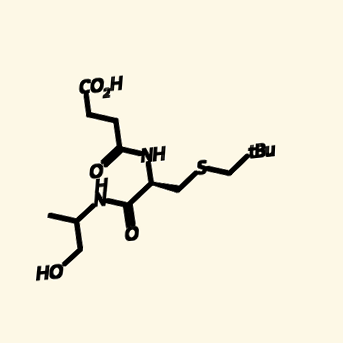 CC(CO)NC(=O)[C@H](CSCC(C)(C)C)NC(=O)CCC(=O)O